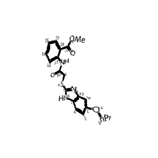 CCCOc1ccc2[nH]c(SCC(=O)Nc3ccccc3C(=O)OC)nc2c1